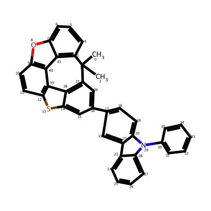 CC1(C)c2cccc3oc4ccc5sc6cc(-c7ccc8c(c7)c7ccccc7n8-c7ccccc7)cc1c6c5c4c23